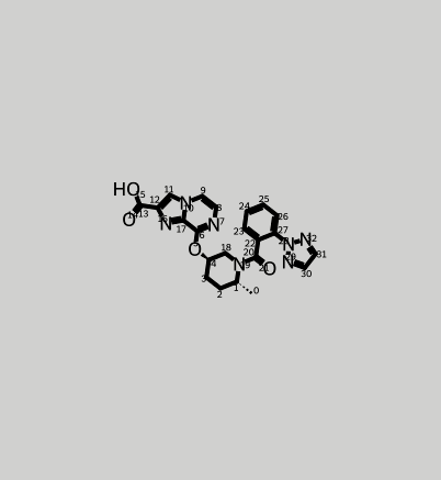 C[C@@H]1CC[C@@H](Oc2nccn3cc(C(=O)O)nc23)CN1C(=O)c1ccccc1-n1nccn1